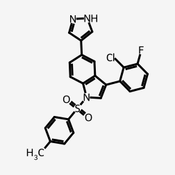 Cc1ccc(S(=O)(=O)n2cc(-c3cccc(F)c3Cl)c3cc(-c4cn[nH]c4)ccc32)cc1